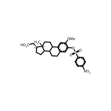 COc1cc2c(cc1OS(=O)(=O)c1ccc([N+](=O)[O-])cc1)CCC1C2CC[C@]2(C)C1CC[C@H]2CC(=O)O